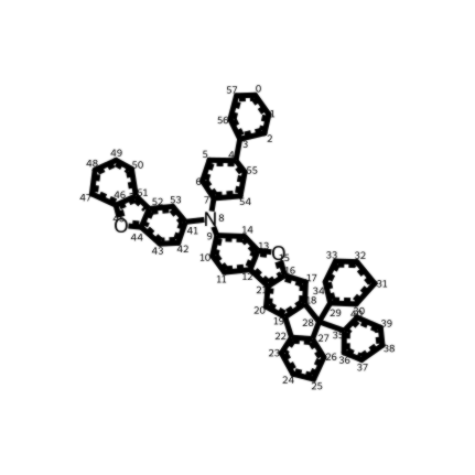 c1ccc(-c2ccc(N(c3ccc4c(c3)oc3cc5c(cc34)-c3ccccc3C5(c3ccccc3)c3ccccc3)c3ccc4oc5ccccc5c4c3)cc2)cc1